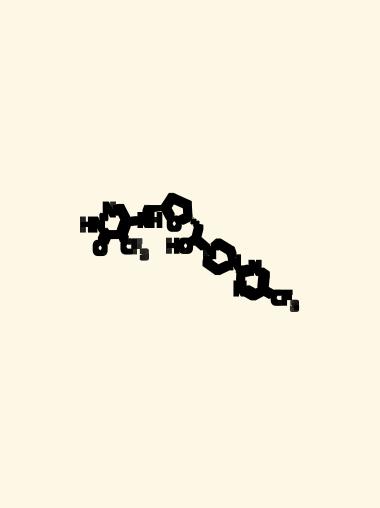 O=c1[nH]ncc(NC[C@H]2CC[C@H](CC(O)N3CCN(c4ncc(C(F)(F)F)cn4)CC3)O2)c1C(F)(F)F